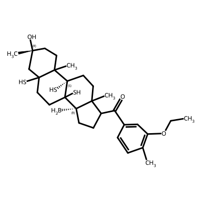 B[C@@]12CCC(C(=O)c3ccc(C)c(OCC)c3)C1(C)CC[C@]1(S)C3(C)CC[C@@](C)(O)CC3(S)CCC21S